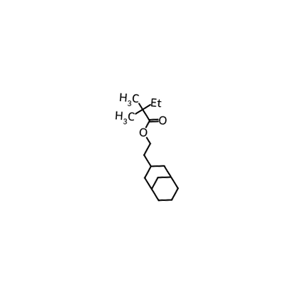 CCC(C)(C)C(=O)OCCC1CC2CCCC(C2)C1